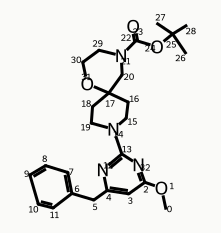 COc1cc(Cc2ccccc2)nc(N2CCC3(CC2)CN(C(=O)OC(C)(C)C)CCO3)n1